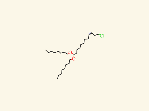 CCCCCCCCOC(CCCCCCC/C=C\CCCl)OCCCCCCCC